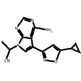 CC(C#N)n1cc(-c2cc(C3CC3)on2)c2c(N)ncnc21